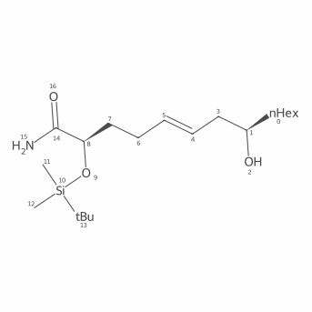 CCCCCC[C@@H](O)C/C=C/CC[C@@H](O[Si](C)(C)C(C)(C)C)C(N)=O